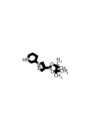 CC1(C)OB(c2cnn(C3CCCNC3)c2)OC1(C)C